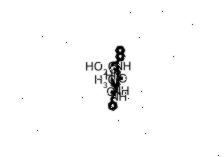 Cn1cc(NC(=O)NCc2ccccc2)cc1C(=O)NCC(=O)NC(CC(=O)O)c1ccc2ccccc2c1